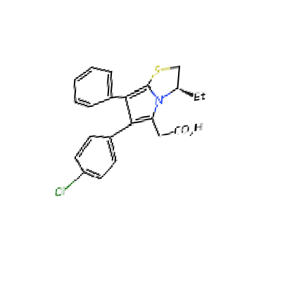 CC[C@@H]1CSc2c(-c3ccccc3)c(-c3ccc(Cl)cc3)c(CC(=O)O)n21